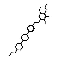 CCCC1CCC(C2CCC(c3ccc(CCc4cc5c(c(F)c4F)OC(C)CC5)cc3)CC2)CC1